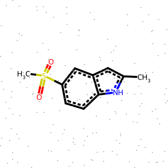 Cc1cc2cc(S(C)(=O)=O)ccc2[nH]1